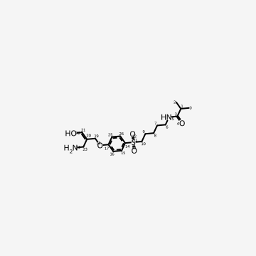 CC(C)C(=O)NCCCCCS(=O)(=O)c1ccc(OC/C(=C/O)CN)cc1